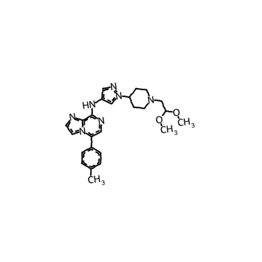 COC(CN1CCC(n2cc(Nc3ncc(-c4ccc(C)cc4)n4ccnc34)cn2)CC1)OC